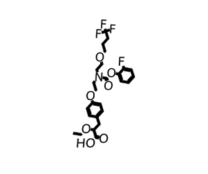 CCOC(Cc1ccc(OCCN(CCOCCCC(F)(F)F)C(=O)Oc2ccccc2F)cc1)C(=O)O